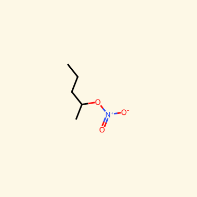 CCCC(C)O[N+](=O)[O-]